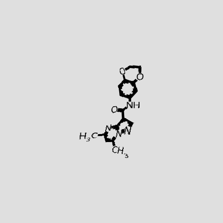 Cc1cc(C)n2ncc(C(=O)Nc3ccc4c(c3)OCCO4)c2n1